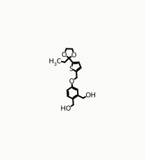 CCC1(c2ccc(COc3ccc(CO)c(CO)c3)s2)OCCO1